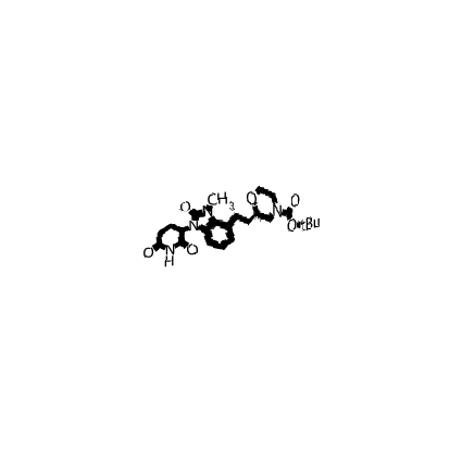 Cn1c(=O)n(C2CCC(=O)NC2=O)c2cccc(CC[C@@H]3CN(C(=O)OC(C)(C)C)CCO3)c21